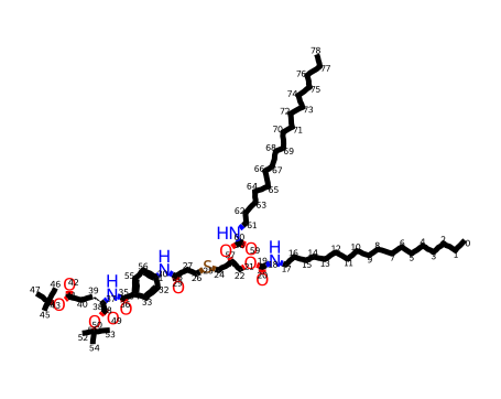 CCCCCCCCCCCCCCCCCCNC(=O)OCC(CSCCC(=O)Nc1ccc(C(=O)N[C@@H](CCC(=O)OC(C)(C)C)C(=O)OC(C)(C)C)cc1)OC(=O)NCCCCCCCCCCCCCCCCCC